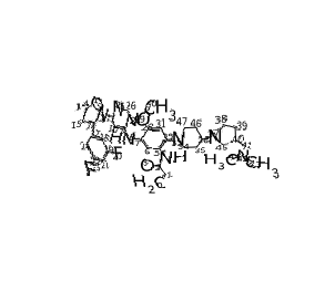 C=CC(=O)Nc1cc(Nc2cc(N3OCCC3c3cc(F)cc(F)c3)ncn2)c(OC)cc1N1CCC(N2CCC(CN(C)C)C2)CC1